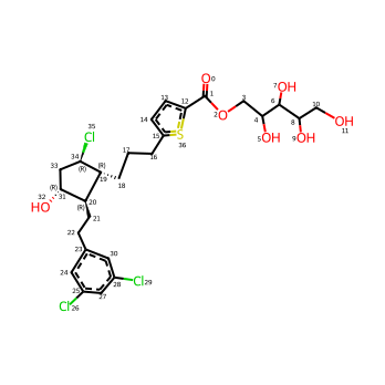 O=C(OCC(O)C(O)C(O)CO)c1ccc(CCC[C@@H]2[C@@H](CCc3cc(Cl)cc(Cl)c3)[C@H](O)C[C@H]2Cl)s1